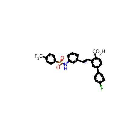 O=C(O)c1ccc(-c2ccc(F)cc2)cc1/C=C/c1cccc(NS(=O)(=O)c2ccc(C(F)(F)F)cc2)c1